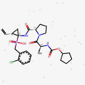 C=C[C@@H]1C[C@]1(NC(=O)[C@@H]1CCCN1C(=O)[C@@H](NC(=O)OC1CCCC1)C(C)(C)C)P(=O)(O)Cc1ccccc1Cl